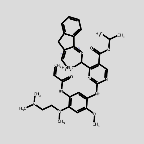 C=CC(=O)Nc1cc(Nc2ncc(C(=O)OC(C)C)c(C(C)/N=C3\C(=C/C)Cc4ccccc43)n2)c(OC)cc1N(C)CCN(C)C